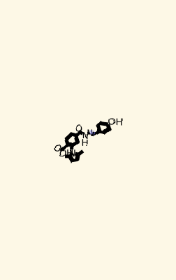 Cc1ccc(C)n1-c1cc(C(=O)N/N=C/c2ccc(O)cc2)ccc1C(=O)O